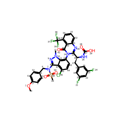 COc1ccc(CN(c2nn(C)c3c(-n4c([C@H](Cc5cc(F)cc(F)c5)NC(=O)O)nc5cccc(C(F)(F)F)c5c4=O)ccc(Cl)c23)S(C)(=O)=O)cc1